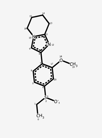 CC[S+]([O-])c1ccc(-c2cn3c(n2)CCCC3)c(OC)c1